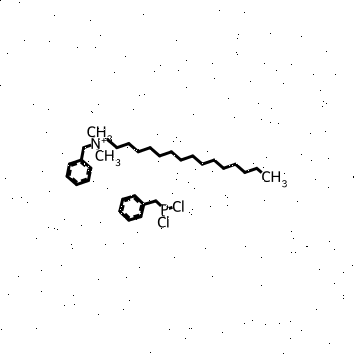 CCCCCCCCCCCCCCCC[N+](C)(C)Cc1ccccc1.ClP(Cl)Cc1ccccc1